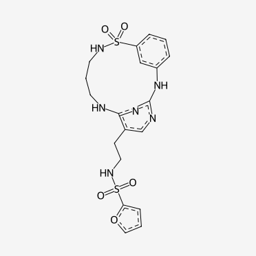 O=S1(=O)NCCCNc2nc(ncc2CCNS(=O)(=O)c2ccco2)Nc2cccc1c2